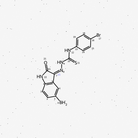 Bc1ccc2c(c1)/C(=N/NC(=S)Nc1ccc(Br)cc1)C(=O)N2